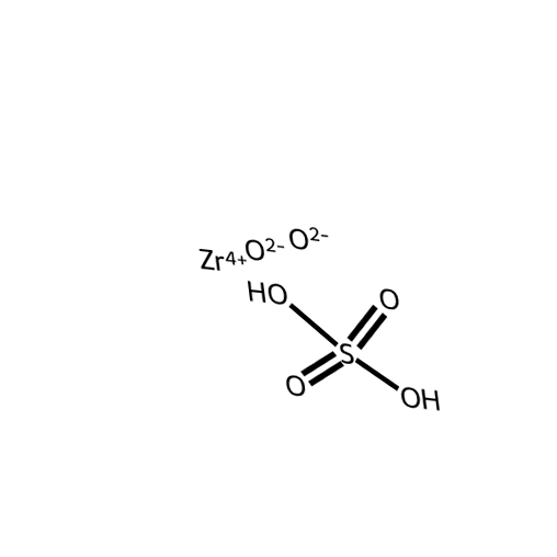 O=S(=O)(O)O.[O-2].[O-2].[Zr+4]